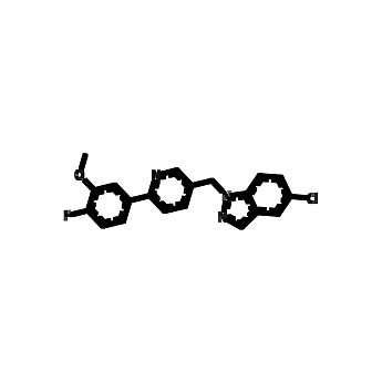 COc1cc(-c2ccc(Cn3ncc4cc(Cl)ccc43)cn2)ccc1F